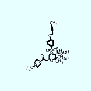 CC#CCOc1ccc(S(=O)(=O)N2C[C@H](CC(=O)N3CCN(C)CC3)OC(C)(C)[C@H]2C(=S)NO)cc1.Cl